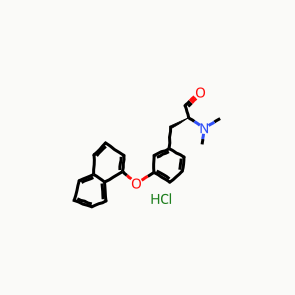 CN(C)[C@H](C=O)Cc1cccc(Oc2cccc3ccccc23)c1.Cl